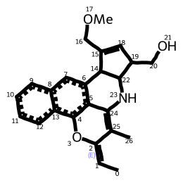 C/C=C1/Oc2c3c(cc4ccccc24)C2C(COC)=CC(CO)C2NC3=C1C